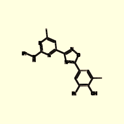 CCc1cc(-c2nc(-c3cc(C)nc(NC(C)C)n3)no2)cc(C)c1O